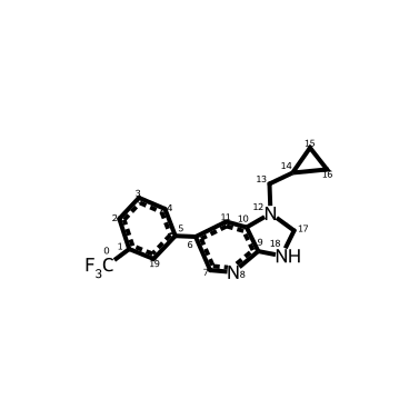 FC(F)(F)c1cccc(-c2cnc3c(c2)N(CC2CC2)CN3)c1